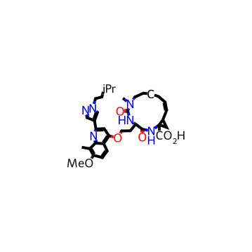 COc1ccc2c(OCCC3NC(=O)N(C)CCCCC=CC4CC4(C(=O)O)NC3=O)cc(-c3cnn(CCC(C)C)c3)nc2c1C